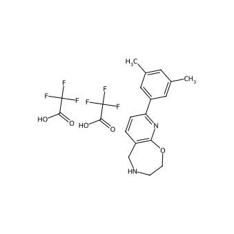 Cc1cc(C)cc(-c2ccc3c(n2)OCCNC3)c1.O=C(O)C(F)(F)F.O=C(O)C(F)(F)F